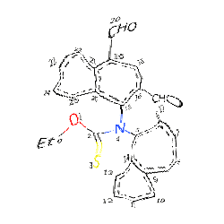 CCOC(=S)N(c1cccc2ccccc12)c1c(C=O)cc(C=O)c2ccccc12